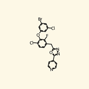 Fc1c(Cc2nnc(-c3ccncc3)o2)ccc(Cl)c1Oc1cc(Cl)cc(Br)c1